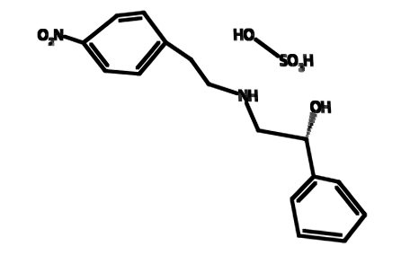 O=S(=O)(O)O.O=[N+]([O-])c1ccc(CCNC[C@H](O)c2ccccc2)cc1